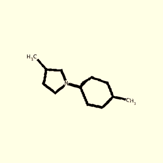 CC1CCC(N2CCC(C)C2)CC1